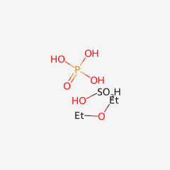 CCOCC.O=P(O)(O)O.O=S(=O)(O)O